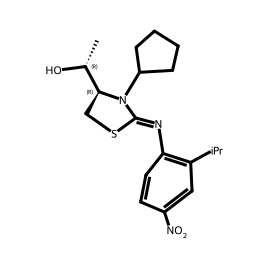 CC(C)c1cc([N+](=O)[O-])ccc1N=C1SC[C@@H]([C@@H](C)O)N1C1CCCC1